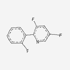 Fc1cnc(-c2ccccc2F)c(F)c1